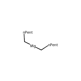 CCCCC[CH2][Mg][CH2]CCCCC